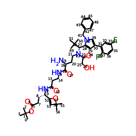 CC(C)(C)OC(=O)CC[C@H](NC(=O)CCNC(=O)[C@@H](N)CCN(C(=O)CO)[C@@H](c1cc(-c2cc(F)ccc2F)cn1Cc1ccccc1)C(C)(C)C)C1=CC(C)(C)O1